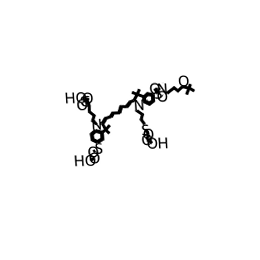 CN(CCCC(=O)C(C)(C)C)S(=O)(=O)c1ccc2c(c1)C(C)(C)C(/C=C/C=C/C=C/C=C1/N(CCCCS(=O)(=O)O)c3ccc(SOOO)cc3C1(C)C)=[N+]2CCCCSOOO